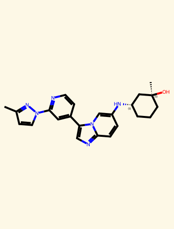 Cc1ccn(-c2cc(-c3cnc4ccc(N[C@H]5CCC[C@](C)(O)C5)cn34)ccn2)n1